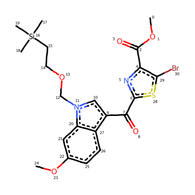 COC(=O)c1nc(C(=O)c2cn(COCC[Si](C)(C)C)c3cc(OC)ccc23)sc1Br